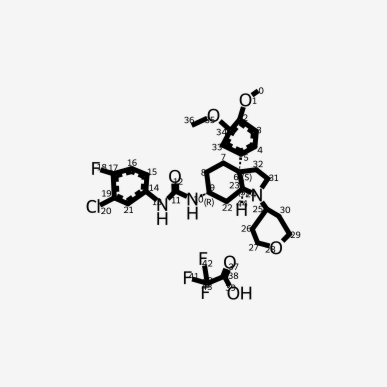 COc1ccc([C@@]23CC[C@@H](NC(=O)Nc4ccc(F)c(Cl)c4)C[C@@H]2N(C2CCOCC2)CC3)cc1OC.O=C(O)C(F)(F)F